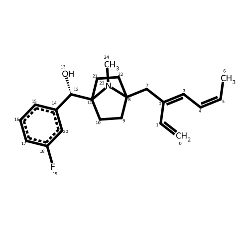 C=C/C(=C\C=C/C)CC12CCC([C@@H](O)c3cccc(F)c3)(CC1)N2C